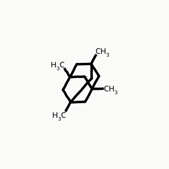 CC12[CH]C3(C)CC(C)(C1)CC(C)(C2)C3